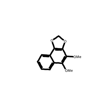 COc1c2c(c3ccccc3c1OC)OCO2